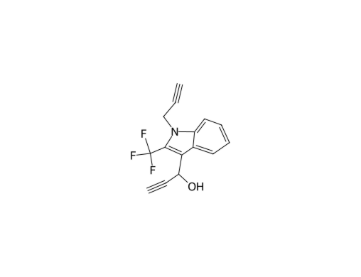 C#CCn1c(C(F)(F)F)c(C(O)C#C)c2ccccc21